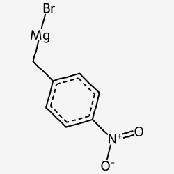 O=[N+]([O-])c1ccc([CH2][Mg][Br])cc1